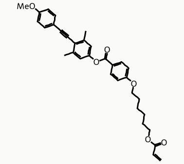 C=CC(=O)OCCCCCCOc1ccc(C(=O)Oc2cc(C)c(C#Cc3ccc(OC)cc3)c(C)c2)cc1